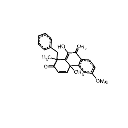 C=C1C(O)=C2C(C)(Cc3ccccc3)C(=O)C=CC2(C)c2cc(OC)ccc21